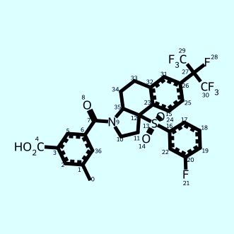 Cc1cc(C(=O)O)cc(C(=O)N2CCC3(S(=O)(=O)c4cccc(F)c4)c4ccc(C(F)(C(F)(F)F)C(F)(F)F)cc4CCC23)c1